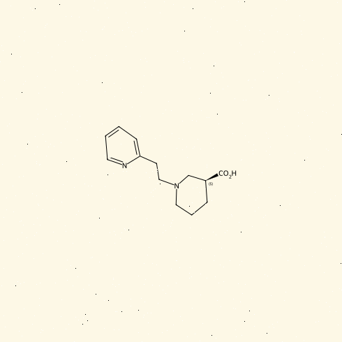 O=C(O)[C@H]1CCCN(CCc2ccccn2)C1